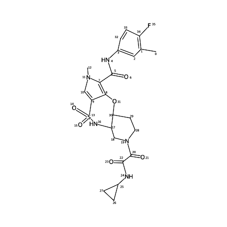 Cc1cc(NC(=O)c2c3c(cn2C)S(=O)(=O)NC2CN(C(=O)C(=O)NC4CC4)CCC2O3)ccc1F